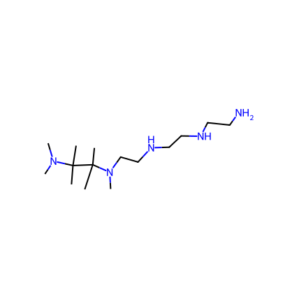 CN(C)C(C)(C)C(C)(C)N(C)CCNCCNCCN